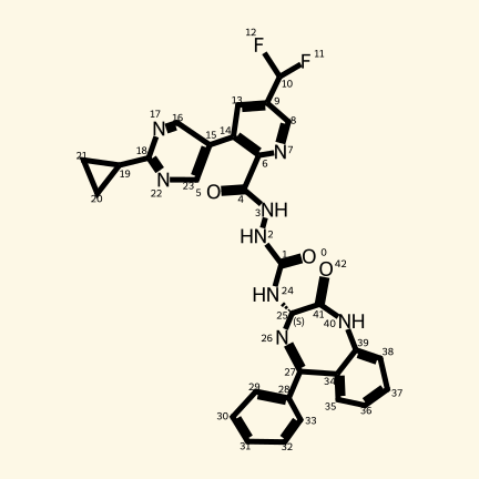 O=C(NNC(=O)c1ncc(C(F)F)cc1-c1cnc(C2CC2)nc1)N[C@H]1N=C(c2ccccc2)c2ccccc2NC1=O